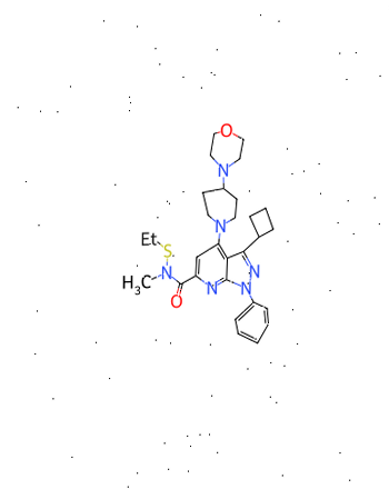 CCSN(C)C(=O)c1cc(N2CCC(N3CCOCC3)CC2)c2c(C3CCC3)nn(-c3ccccc3)c2n1